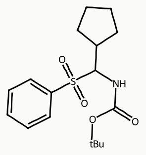 CC(C)(C)OC(=O)NC(C1CCCC1)S(=O)(=O)c1ccccc1